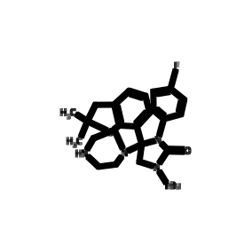 CCCCN1CC(c2cccc3c2OC(C)(C)C3)(N2CCNCC2)N(c2ccc(F)cc2)C1=O